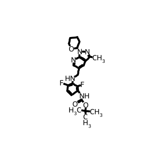 Cc1nn(C2CCCCO2)c2ncc(CNc3c(F)ccc(NC(=O)OC(C)(C)C)c3F)cc12